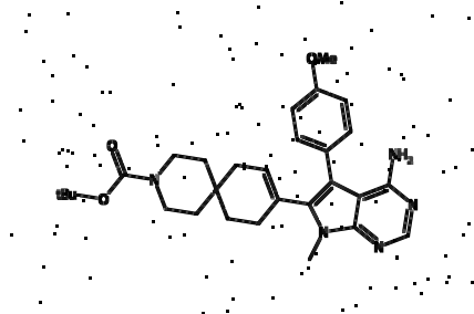 COc1ccc(-c2c(C3=CCC4(CC3)CCN(C(=O)OC(C)(C)C)CC4)n(C)c3ncnc(N)c23)cc1